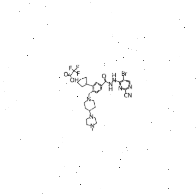 CN1CCN(C2CCN(Cc3ccc(C(=O)NNc4nc(C#N)ncc4Br)cc3C3CCCC3)CC2)CC1.O=C(O)C(F)(F)F